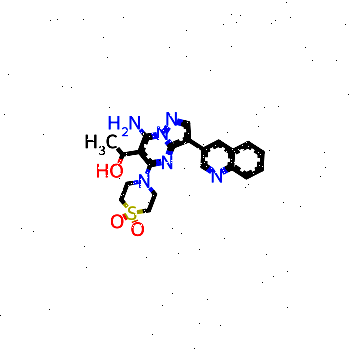 CC(O)c1c(N2CCS(=O)(=O)CC2)nc2c(-c3cnc4ccccc4c3)cnn2c1N